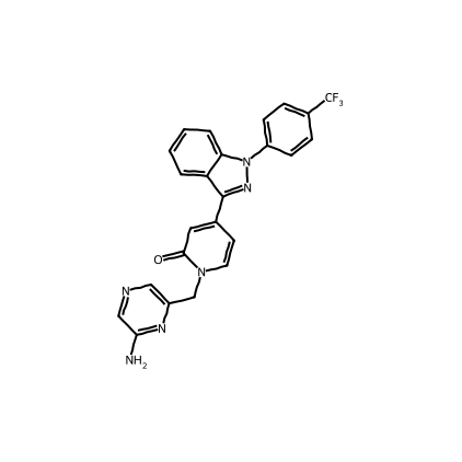 Nc1cncc(Cn2ccc(-c3nn(-c4ccc(C(F)(F)F)cc4)c4ccccc34)cc2=O)n1